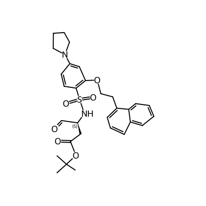 CC(C)(C)OC(=O)C[C@@H](C=O)NS(=O)(=O)c1ccc(N2CCCC2)cc1OCCc1cccc2ccccc12